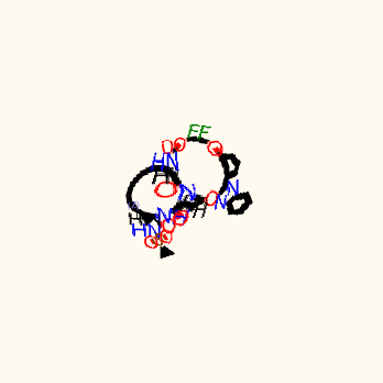 O=C1N[C@H]2CCCCC/C=C\[C@@H]3C[C@@]3(C(=O)NS(=O)(=O)C3CC3)NC(=O)[C@@H]3C[C@H](CN3C2=O)Oc2nc3ccccc3nc2-c2cccc(c2)OCC(F)(F)CO1